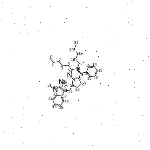 CCCCCc1nc2c(c(-c3ccccc3)c1CCCCC)CC[C@@]2(C#N)Cc1cn(C)c2ccccc12